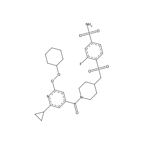 NS(=O)(=O)c1ccc(S(=O)(=O)CC2CCN(C(=O)c3cc(OOC4CCCCC4)nc(C4CC4)c3)CC2)c(F)c1